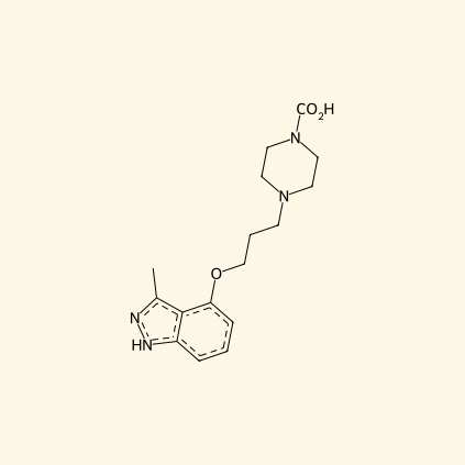 Cc1n[nH]c2cccc(OCCCN3CCN(C(=O)O)CC3)c12